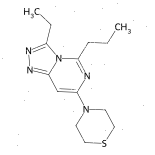 CCCc1nc(N2CCSCC2)cc2nnc(CC)n12